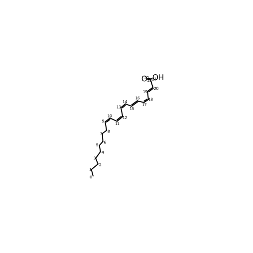 CCCCCCCCC\C=C/C=C\C=C/C=C/C=C\C=C\C(=O)O